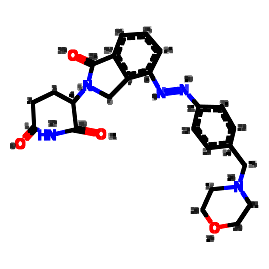 O=C1CCC(N2Cc3c(/N=N/c4ccc(CN5CCOCC5)cc4)cccc3C2=O)C(=O)N1